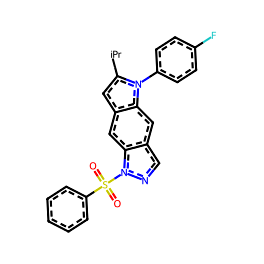 CC(C)c1cc2cc3c(cnn3S(=O)(=O)c3ccccc3)cc2n1-c1ccc(F)cc1